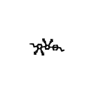 CCCc1ccc(-c2ccc(C34CCC(CCC)(CC3)CC4)c(C#N)c2C#N)c(C#N)c1C#N